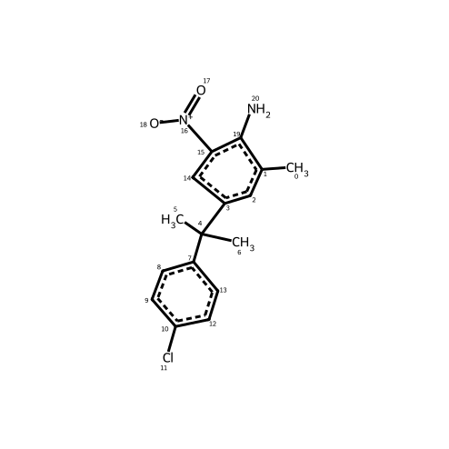 Cc1cc(C(C)(C)c2ccc(Cl)cc2)cc([N+](=O)[O-])c1N